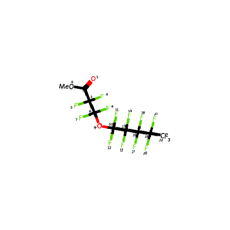 COC(=O)C(F)(F)C(F)(F)OC(F)(F)C(F)(F)C(F)(F)C(F)(F)C(F)(F)F